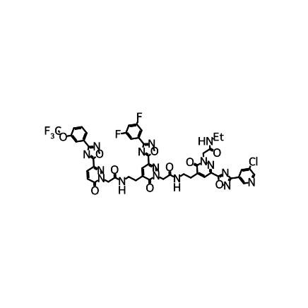 CCNC(=O)Cn1nc(-c2nc(-c3cncc(Cl)c3)no2)cc(CCNC(=O)Cn2nc(-c3nc(-c4cc(F)cc(F)c4)no3)cc(CCNC(=O)Cn3nc(-c4nc(-c5cccc(OC(F)(F)F)c5)no4)ccc3=O)c2=O)c1=O